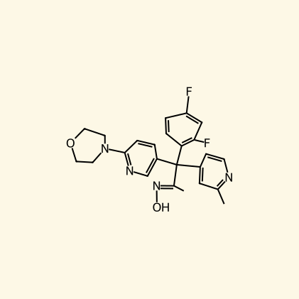 CC(=NO)C(c1ccc(N2CCOCC2)nc1)(c1ccnc(C)c1)c1ccc(F)cc1F